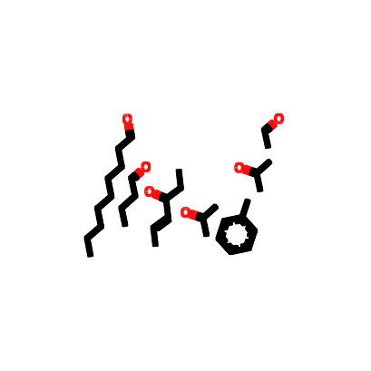 CC(C)=O.CC(C)=O.CC=CC(=O)CC.CC=O.CCCC=O.CCCCCCCCC=O.Cc1ccccc1